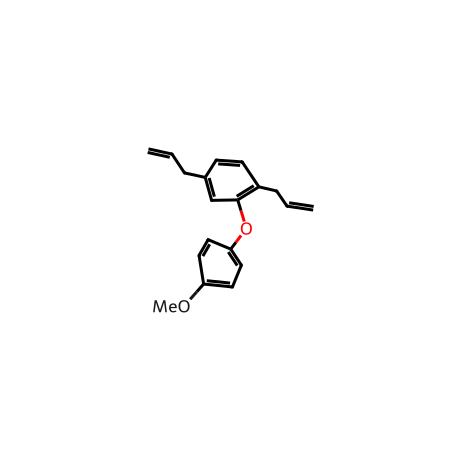 C=CCc1ccc(CC=C)c(Oc2ccc(OC)cc2)c1